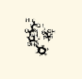 CC(C)C[C@H](N)C(=O)N1CC(O)C(SCc2ccccc2)C1.O=C(O)C(F)(F)F